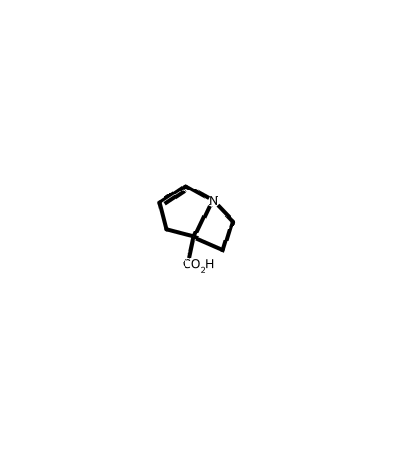 O=C(O)C12CC=CN1CC2